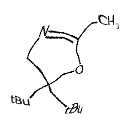 CC1=NCC(C(C)(C)C)(C(C)(C)C)O1